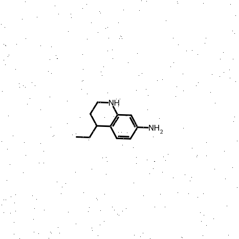 CCC1CCNc2cc(N)ccc21